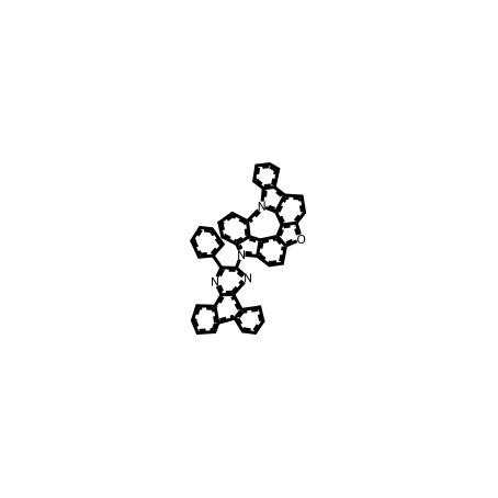 c1ccc(-c2nc3c4ccccc4c4ccccc4c3nc2-n2c3ccc4oc5ccc6c7ccccc7n7c8cccc2c8c3c4c5c67)cc1